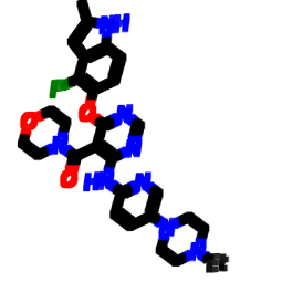 CCN1CCN(c2ccc(Nc3ncnc(Oc4ccc5[nH]c(C)cc5c4F)c3C(=O)N3CCOCC3)nc2)CC1